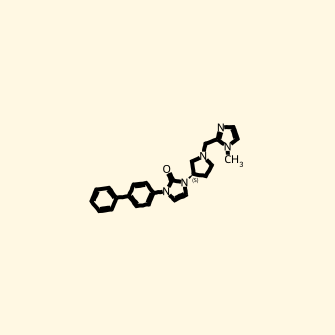 Cn1ccnc1CN1CC[C@H](n2ccn(-c3ccc(-c4ccccc4)cc3)c2=O)C1